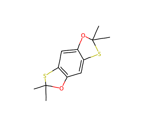 CC1(C)Oc2cc3c(cc2S1)OC(C)(C)S3